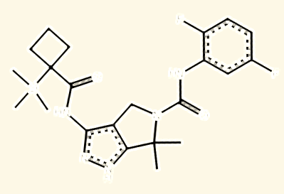 CC1(C)c2[nH]nc(NC(=O)C3([Si](C)(C)C)CCC3)c2CN1C(=O)Nc1cc(F)ccc1F